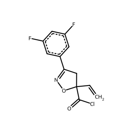 C=CC1(C(=O)Cl)CC(c2cc(F)cc(F)c2)=NO1